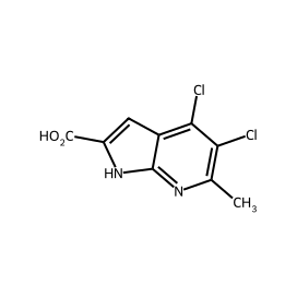 Cc1nc2[nH]c(C(=O)O)cc2c(Cl)c1Cl